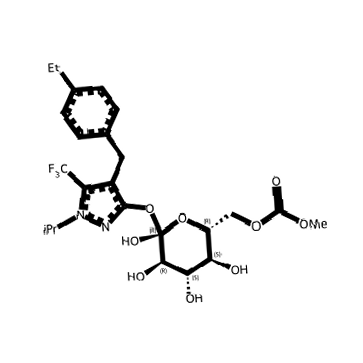 CCc1ccc(Cc2c(O[C@]3(O)O[C@H](COC(=O)OC)[C@@H](O)[C@H](O)[C@H]3O)nn(C(C)C)c2C(F)(F)F)cc1